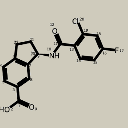 O=C(O)c1ccc2c(c1)[C@H](NC(=O)c1ccc(F)cc1Cl)CC2